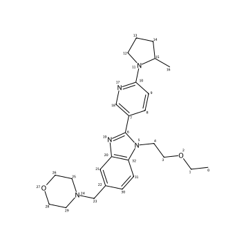 CCOCCn1c(-c2ccc(N3CCCC3C)nc2)nc2cc(CN3CCOCC3)ccc21